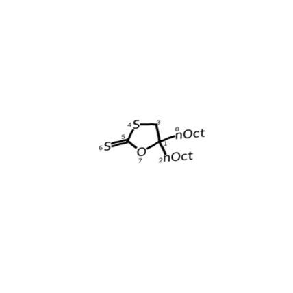 CCCCCCCCC1(CCCCCCCC)CSC(=S)O1